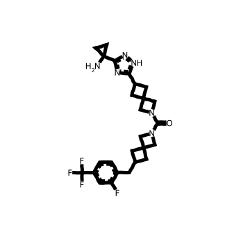 NC1(c2n[nH]c(C3CC4(C3)CN(C(=O)N3CC5(CC(Cc6ccc(C(F)(F)F)cc6F)C5)C3)C4)n2)CC1